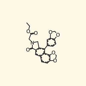 CCOC(=O)CN1Cc2c(cc3ccc4c(c3c2-c2ccc3c(c2)OCO3)OCO4)C1=O